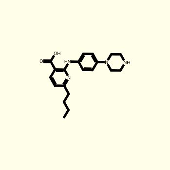 CCCCc1ccc(C(=O)O)c(Nc2ccc(N3CCNCC3)cc2)n1